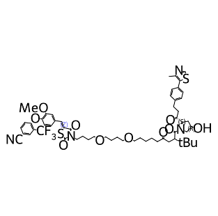 COc1cc(/C=C2\SC(=O)N(CCCCOCCCCOCCCCCC(=O)CC(C(=O)N3C[C@H](O)C[C@H]3C(=O)CCc3ccc(-c4scnc4C)cc3)C(C)(C)C)C2=O)ccc1Oc1ccc(C#N)cc1C(F)(F)F